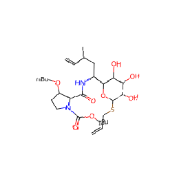 C=CCSC1OC(C(CC(C)C=C)NC(=O)C2C(OCCCC)CCN2C(=O)OC(C)(C)C)C(O)C(O)C1O